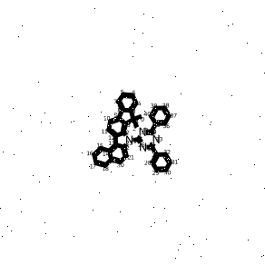 CC1(C)c2ccccc2-c2ccc3c4c5ccccc5ccc4n(-c4nc(-c5ccccc5)nc(-c5ccccc5)n4)c3c21